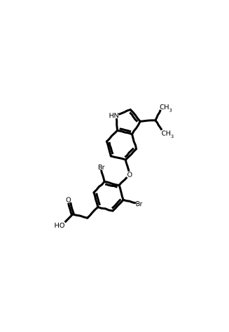 CC(C)c1c[nH]c2ccc(Oc3c(Br)cc(CC(=O)O)cc3Br)cc12